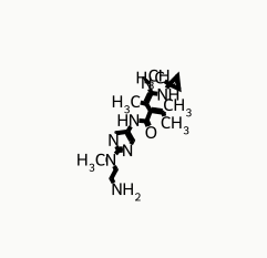 C=N/C(NC1(C)CC1)=C(\C)C(C(=O)Nc1cnc(N(C)CCN)nc1)=C(C)C